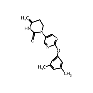 C=C1CCN(c2cnc(Oc3cc(C)cc(C)c3)nc2)C(=O)N1